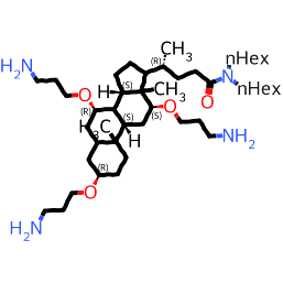 CCCCCCN(CCCCCC)C(=O)CC[C@@H](C)C1CC[C@H]2C3[C@H](OCCCN)CC4C[C@H](OCCCN)CCC4(C)[C@H]3C[C@H](OCCCN)C12C